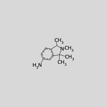 CC1c2ccc(N)cc2C(C)(C)N1C